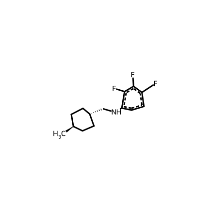 C[C@H]1CC[C@H](CNc2ccc(F)c(F)c2F)CC1